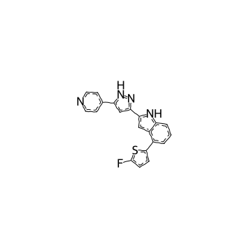 Fc1ccc(-c2cccc3[nH]c(-c4cc(-c5ccncc5)[nH]n4)cc23)s1